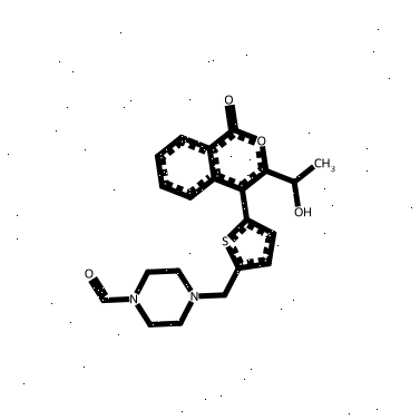 CC(O)c1oc(=O)c2ccccc2c1-c1ccc(CN2CCN(C=O)CC2)s1